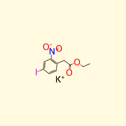 CCOC(=O)Cc1ccc(I)cc1[N+](=O)[O-].[K+]